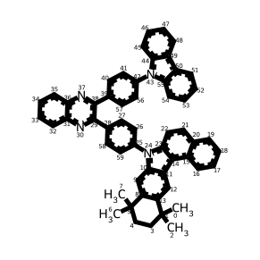 CC1(C)CCC(C)(C)c2cc3c(cc21)c1c2ccccc2ccc1n3-c1ccc(-c2nc3ccccc3nc2-c2ccc(-n3c4ccccc4c4ccccc43)cc2)cc1